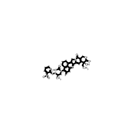 CC[C@@]1(O)C(=O)OCc2c1cc1n(c2=O)Cc2c-1nc1cc(F)c(N(C[C@@H](C)SSc3ncccc3[N+](=O)[O-])C(=O)O)c3c1c2CCC3